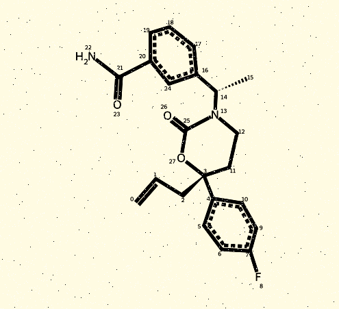 C=CC[C@]1(c2ccc(F)cc2)CCN([C@@H](C)c2cccc(C(N)=O)c2)C(=O)O1